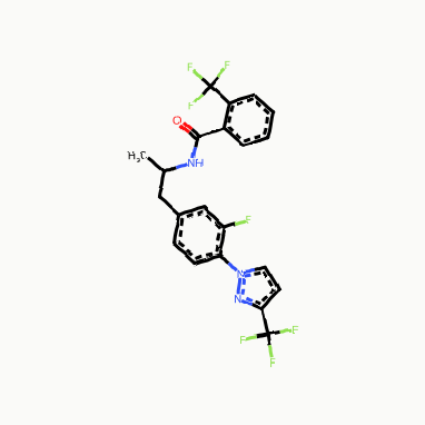 CC(Cc1ccc(-n2ccc(C(F)(F)F)n2)c(F)c1)NC(=O)c1ccccc1C(F)(F)F